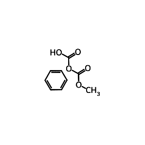 COC(=O)OC(=O)O.c1ccccc1